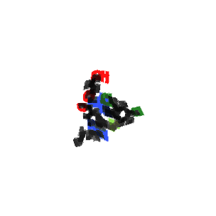 CCc1cnc2c(F)c(Nc3ccc(Cl)cc3Cl)c(C(=O)NOCCO)cn12